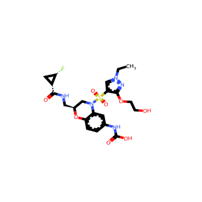 CCn1cc(S(=O)(=O)N2C[C@H](CNC(=O)[C@@H]3C[C@@H]3F)Oc3ccc(NC(=O)O)cc32)c(OCCO)n1